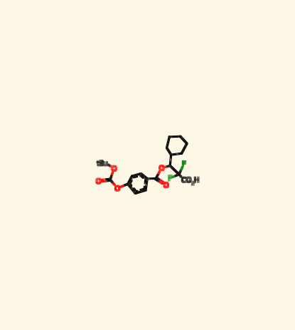 CC(C)(C)OC(=O)Oc1ccc(C(=O)OC(C2CCCCC2)C(F)(F)C(=O)O)cc1